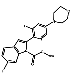 CC(C)(C)OC(=O)n1c(-c2ncc(N3CCOCC3)cc2F)cc2ccc(F)cc21